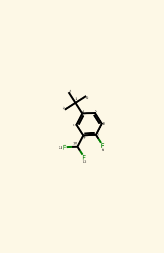 CC(C)(C)c1ccc(F)c(C(F)F)c1